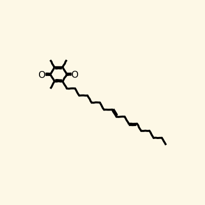 CCCCCC=CCC=CCCCCCCCC1=C(C)C(=O)C(C)=C(C)C1=O